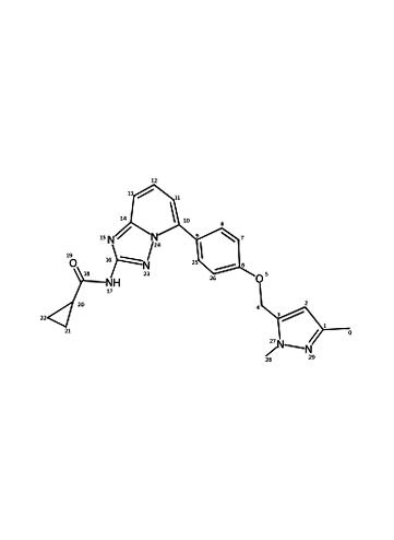 Cc1cc(COc2ccc(-c3cccc4nc(NC(=O)C5CC5)nn34)cc2)n(C)n1